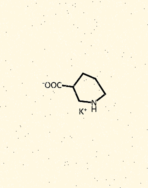 O=C([O-])C1CCCNC1.[K+]